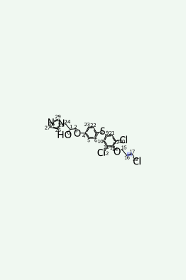 OC(COc1ccc(Sc2cc(Cl)c(OC/C=C/Cl)c(Cl)c2)cc1)Cn1ccnc1